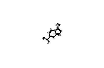 FC(F)c1ccn2c(Br)cnc2c1